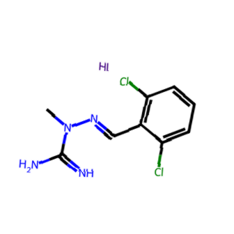 CN(/N=C/c1c(Cl)cccc1Cl)C(=N)N.I